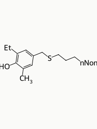 CCCCCCCCCCCCSCc1cc(C)c(O)c(CC)c1